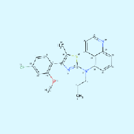 CCCN(c1nc(-c2ccc(Cl)cc2OC)c(C)s1)c1cccc2ncccc12